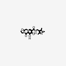 Cc1nn(C)c(C)c1CNC(=O)c1cn2c(c(O)c1=O)C(=O)N1CCOC1C2